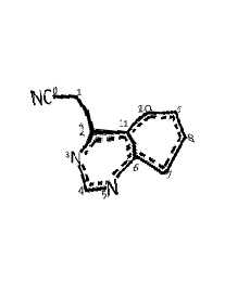 N#CCc1ncnc2ccccc12